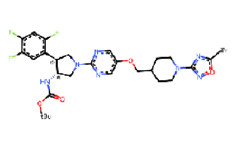 CC(C)c1nc(N2CCC(COc3cnc(N4C[C@H](NC(=O)OC(C)(C)C)[C@@H](c5cc(F)c(F)cc5F)C4)nc3)CC2)no1